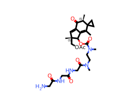 CC(=O)OC[C@]1(C)C=C2C(=O)[C@@H](C)C3(CC3)C(C)=C2C1OC(=O)N(C)CCN(C)C(=O)CNC(=O)CNC(=O)CN